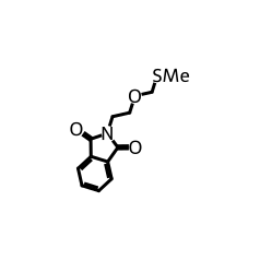 CSCOCCN1C(=O)c2ccccc2C1=O